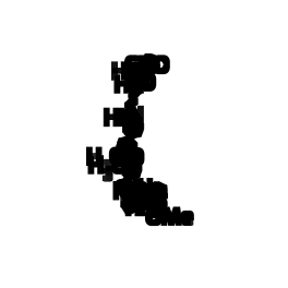 COC(=O)N[C@@H](C(=O)N1CCC[C@H]1C1=NCC(c2ccc3c(c2)C(C)(C)c2ccc(-c4ccc5nc(CCCCNC(=O)[C@H](NC=O)c6ccccc6)[nH]c5c4)cc2O3)N1)c1ccccc1